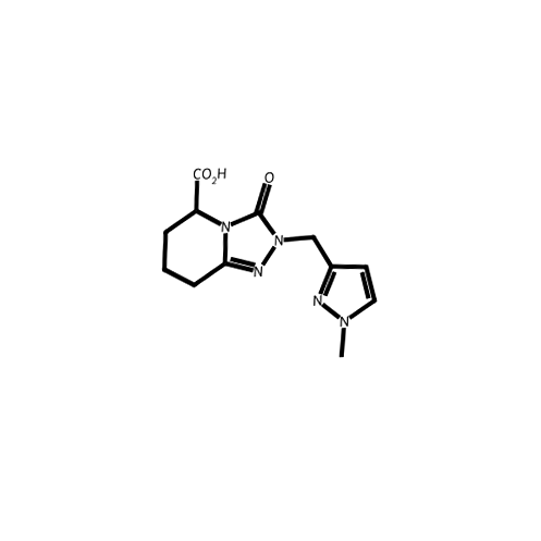 Cn1ccc(Cn2nc3n(c2=O)C(C(=O)O)CCC3)n1